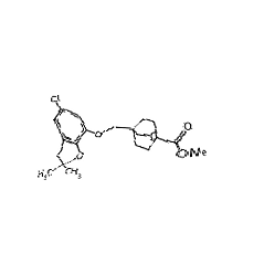 COC(=O)C12CCC(COc3cc(Cl)cc4c3OC(C)(C)C4)(CC1)CC2